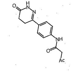 CC(=O)CC(=O)Nc1ccc(C2=NNC(=O)CC2)cc1